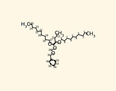 CCCCCCCCCCOC(CCC)=C(OCCCCCCCCCC)OCOCc1ccccc1